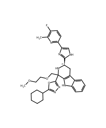 COCCOCC1(c2nnc(C3CCCCC3)o2)N[C@@H](c2nc(-c3ccc(F)c(C)n3)c[nH]2)Cc2c1[nH]c1ccccc21